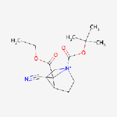 CCOC(=O)C1(C#N)C2CC[N+]1(C(=O)OC(C)(C)C)CC2